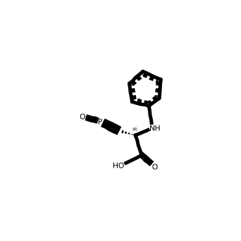 O=P#C[C@H](Nc1ccccc1)C(=O)O